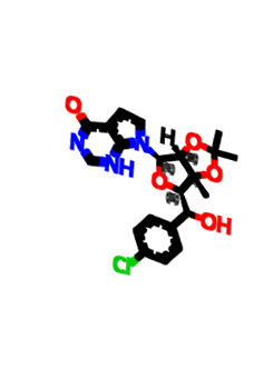 CC1(C)O[C@H]2[C@H](n3ccc4c(=O)nc[nH]c43)O[C@H](C(O)c3ccc(Cl)cc3)[C@@]2(C)O1